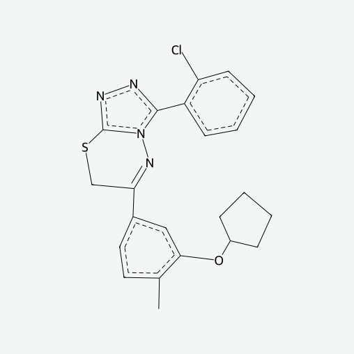 Cc1ccc(C2=Nn3c(nnc3-c3ccccc3Cl)SC2)cc1OC1CCCC1